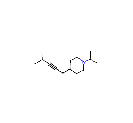 CC(C)C#CCC1CCN(C(C)C)CC1